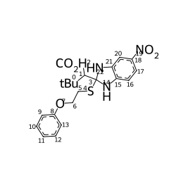 CC(C)(C)C(C(=O)O)C1(SCCOc2ccccc2)Nc2ccc([N+](=O)[O-])cc2N1